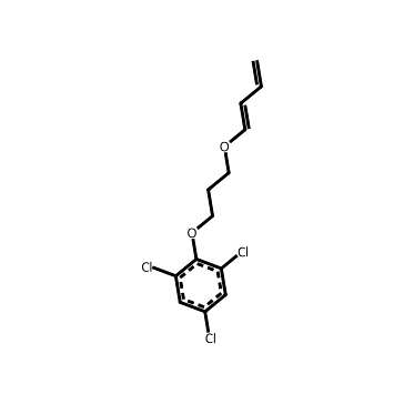 C=CC=COCCCOc1c(Cl)cc(Cl)cc1Cl